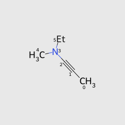 CC#CN(C)CC